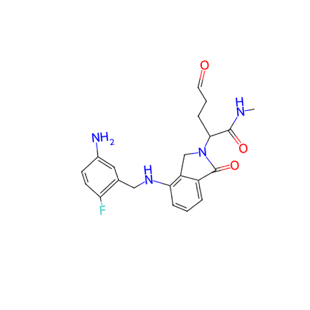 CNC(=O)C(CCC=O)N1Cc2c(NCc3cc(N)ccc3F)cccc2C1=O